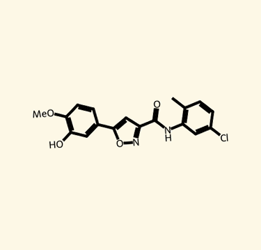 COc1ccc(-c2cc(C(=O)Nc3cc(Cl)ccc3C)no2)cc1O